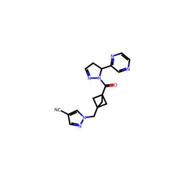 N#Cc1cnn(CC23CC(C(=O)N4N=CCC4c4cnccn4)(C2)C3)c1